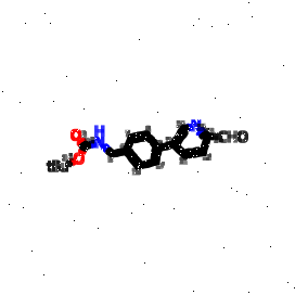 CC(C)(C)OC(=O)NCc1ccc(-c2ccc(C=O)nc2)cc1